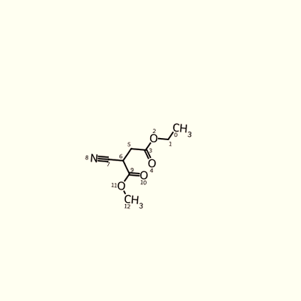 CCOC(=O)CC(C#N)C(=O)OC